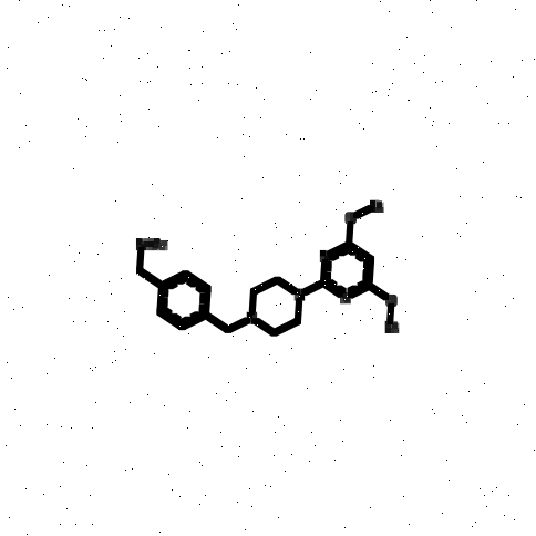 CCOc1cc(OCC)nc(N2CCN(Cc3ccc(CNC(C)=O)cc3)CC2)n1